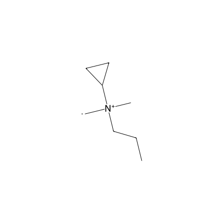 [CH2][N+](C)(CCC)C1CC1